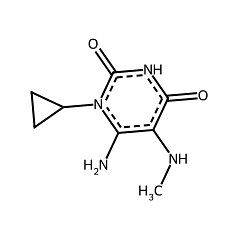 CNc1c(N)n(C2CC2)c(=O)[nH]c1=O